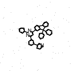 c1ccc(-c2nc(-c3cccc(-c4cccnc4)c3)cc(-c3ccc4c(c3)C(c3ccccc3)(c3ccccc3)c3ccccc3-4)n2)cc1